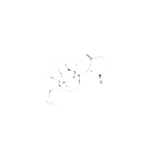 NC[C@@]12COC(N3C(=O)COC3=O)(CO1)[C@@H](O)[C@H]2O